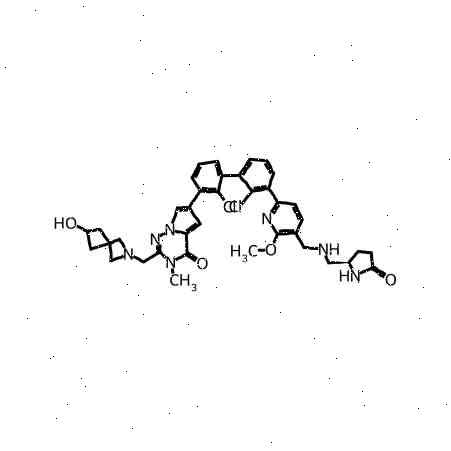 COc1nc(-c2cccc(-c3cccc(-c4cc5c(=O)n(C)c(CN6CC7(CC(O)C7)C6)nn5c4)c3Cl)c2Cl)ccc1CNC[C@H]1CCC(=O)N1